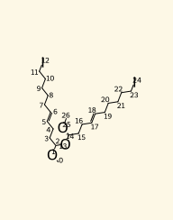 COC(CCC=CCCCCCI)OC(CCC=CCCCCCI)OC